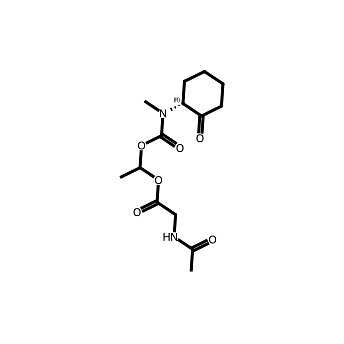 CC(=O)NCC(=O)OC(C)OC(=O)N(C)[C@@H]1CCCCC1=O